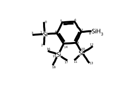 C[Si](C)(C)c1ccc([SiH3])c([Si](C)(C)C)c1[Si](C)(C)C